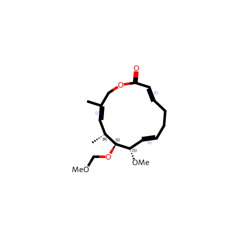 COCO[C@H]1[C@H](C)/C=C(/C)COC(=O)/C=C/CC/C=C/[C@@H]1OC